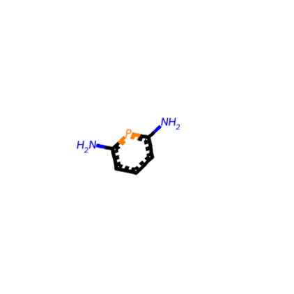 Nc1cccc(N)p1